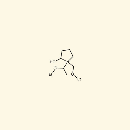 CCOC[N+]1(C(C)OCC)CCCC1O